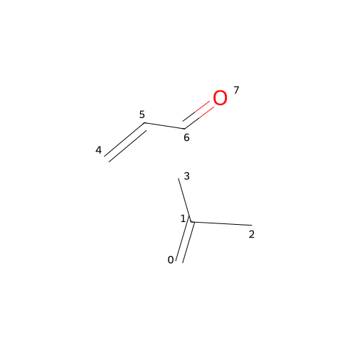 C=C(C)C.C=CC=O